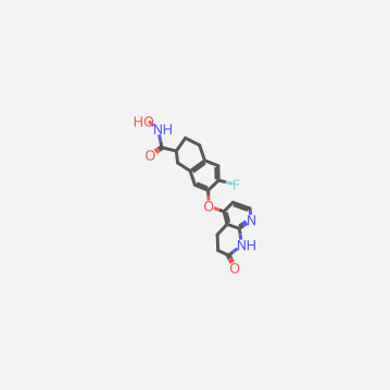 O=C1CCc2c(Oc3cc4c(cc3F)CCC(C(=O)NO)C4)ccnc2N1